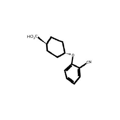 N#Cc1ccccc1O[C@H]1CC[C@H](C(=O)O)CC1